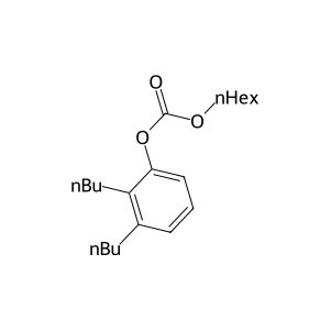 CCCCCCOC(=O)Oc1cccc(CCCC)c1CCCC